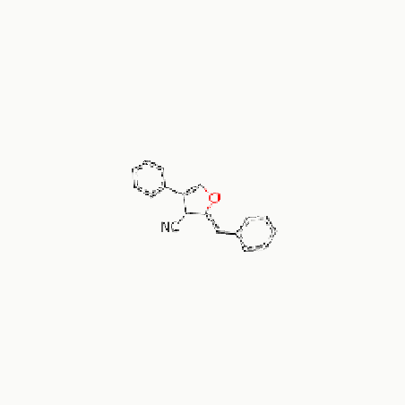 N#CC1C(=Cc2ccccc2)OC=C1c1ccccc1